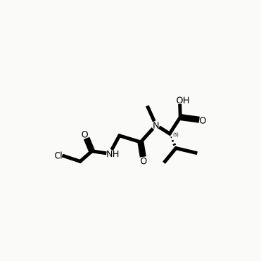 CC(C)[C@@H](C(=O)O)N(C)C(=O)CNC(=O)CCl